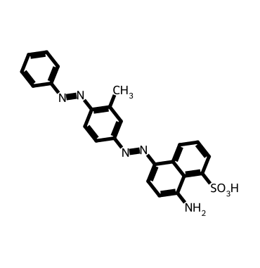 Cc1cc(/N=N/c2ccc(N)c3c(S(=O)(=O)O)cccc23)ccc1/N=N/c1ccccc1